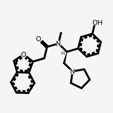 CN(C(=O)Cc1occ2ccccc12)[C@H](CN1CCCC1)c1cccc(O)c1